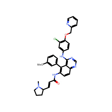 COc1cccc(-c2c(NC(=O)/C=C/C3CCCN3C)ccc3ncnc(Nc4ccc(OCc5ccccn5)c(Cl)c4)c23)c1